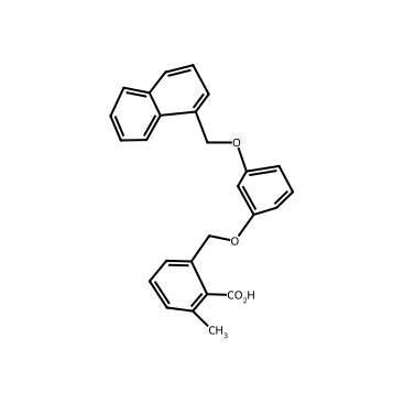 Cc1cccc(COc2cccc(OCc3cccc4ccccc34)c2)c1C(=O)O